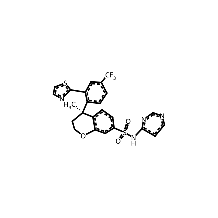 C[C@@]1(c2ccc(C(F)(F)F)cc2-c2nccs2)CCOc2cc(S(=O)(=O)Nc3ccncn3)ccc21